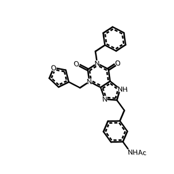 CC(=O)Nc1cccc(Cc2nc3c([nH]2)c(=O)n(Cc2ccccc2)c(=O)n3Cc2ccoc2)c1